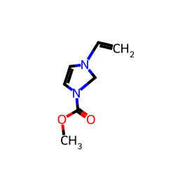 C=CN1C=CN(C(=O)OC)C1